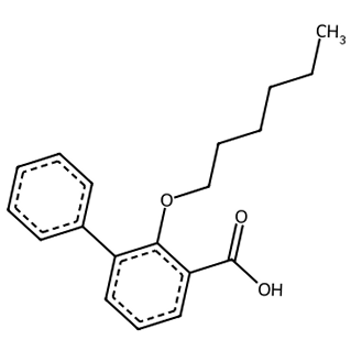 CCCCCCOc1c(C(=O)O)cccc1-c1ccccc1